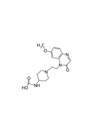 COc1ccc2ncc(=O)n(CCN3CCC(NC(=O)O)CC3)c2c1